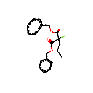 CCCC(F)(C(=O)OCc1ccccc1)C(=O)OCc1ccccc1